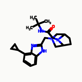 CC(C)(C)NC(=O)CN1C2CCC1CN(Cc1nc3c(C4CC4)cccc3[nH]1)C2